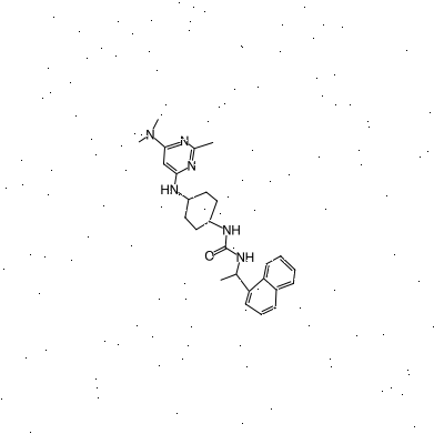 Cc1nc(NC2CCC(NC(=O)NC(C)c3cccc4ccccc34)CC2)cc(N(C)C)n1